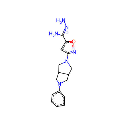 N/N=C(\N)c1cc(N2CC3CN(c4ccccc4)CC3C2)no1